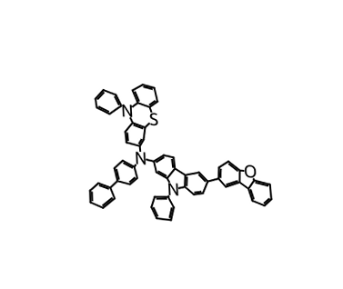 c1ccc(-c2ccc(N(c3ccc4c(c3)Sc3ccccc3N4c3ccccc3)c3ccc4c5cc(-c6ccc7oc8ccccc8c7c6)ccc5n(-c5ccccc5)c4c3)cc2)cc1